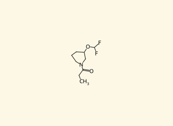 CCC(=O)N1CCCC(OC(F)F)C1